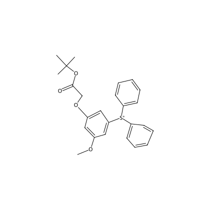 COc1cc(OCC(=O)OC(C)(C)C)cc([S+](c2ccccc2)c2ccccc2)c1